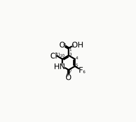 O=C(O)c1cc(F)c(=O)[nH]c1Cl